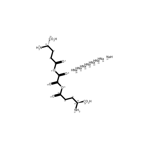 N[C@@H](CCC(=O)OC(=O)C(=O)OC(=O)CC[C@H](N)C(=O)O)C(=O)O.[NaH].[NaH].[NaH].[NaH].[NaH].[NaH].[NaH].[NaH]